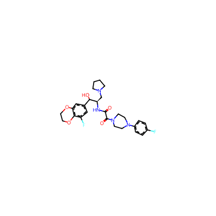 O=C(N[C@H](CN1CCCC1)[C@H](O)c1cc(F)c2c(c1)OCCO2)C(=O)N1CCN(c2ccc(F)cc2)CC1